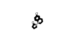 O=C1CCCN1N1CCCc2cc(Cl)ccc21